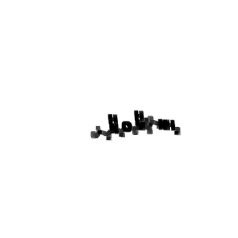 CCCNCOC[SiH2]CCN